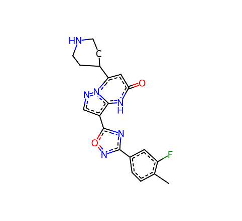 Cc1ccc(-c2noc(-c3cnn4c(C5CCNCC5)cc(=O)[nH]c34)n2)cc1F